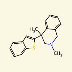 CN1Cc2ccccc2C(C)(c2cc3ccccc3s2)C1